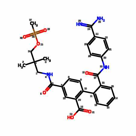 CC(C)(CNC(=O)c1ccc(-c2ccccc2C(=O)Nc2ccc(C(=N)N)cc2)c(C(=O)O)c1)COS(C)(=O)=O